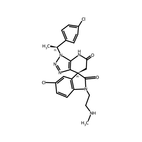 CNCCN1C(=O)[C@]2(CC(=O)Nc3c2nnn3[C@@H](C)c2ccc(Cl)cc2)c2cc(Cl)ccc21